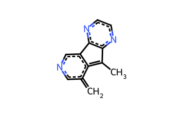 C=c1cncc2c1=C(C)c1nccnc1-2